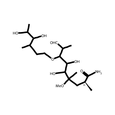 COC(C)(C[C@H](C)C(N)=O)C(O)C(O)C(OCCC(C)C(O)C(C)O)C(C)C=O